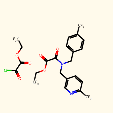 O=C(Cl)C(=O)OCC(F)(F)F.O=C(OCC(F)(F)F)C(=O)N(Cc1ccc(C(F)(F)F)cc1)Cc1ccc(C(F)(F)F)nc1